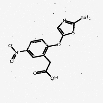 Nc1ncc(Oc2ccc([N+](=O)[O-])cc2CC(=O)O)s1